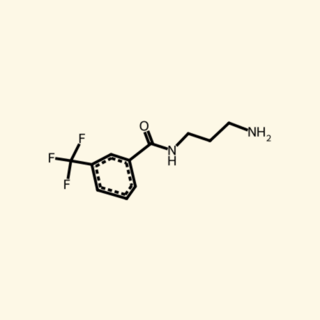 NCCCNC(=O)c1cccc(C(F)(F)F)c1